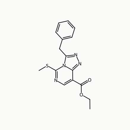 CCOC(=O)c1cnc(SC)n2c(Cc3ccccc3)nnc12